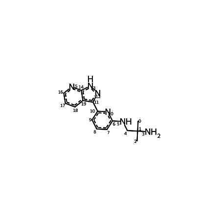 CC(C)(N)CNc1cccc(-c2n[nH]c3ncccc23)n1